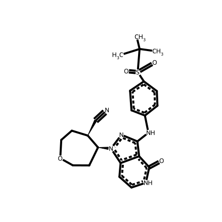 CC(C)(C)S(=O)(=O)c1ccc(Nc2nn([C@H]3CCOCC[C@H]3C#N)c3cc[nH]c(=O)c23)cc1